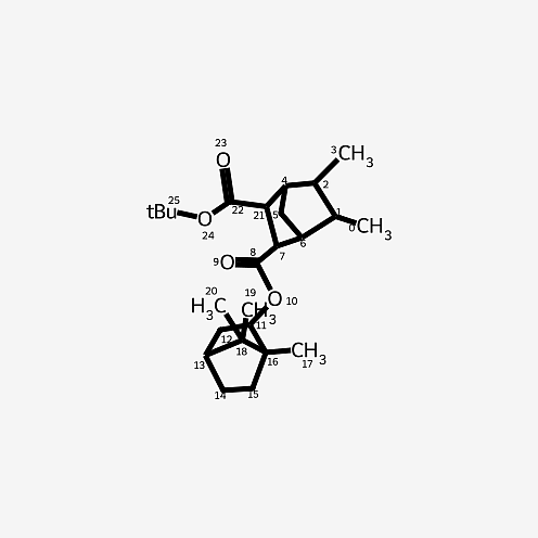 CC1C(C)C2CC1C(C(=O)OC1CC3CCC1(C)C3(C)C)C2C(=O)OC(C)(C)C